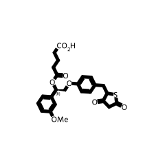 COc1cccc([C@H](COc2ccc(CC3SC(=O)CC3=O)cc2)OC(=O)CCCC(=O)O)c1